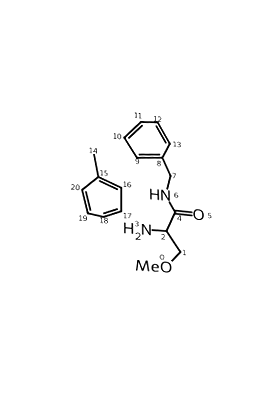 COCC(N)C(=O)NCc1ccccc1.Cc1ccccc1